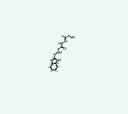 C/C(CC(C)C)=N\NC(=O)CNCc1nc2ccccc2[nH]1